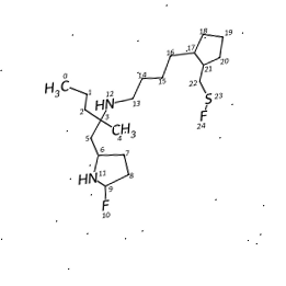 CCCC(C)(CC1CCC(F)N1)NCCCCC1CCCC1CSF